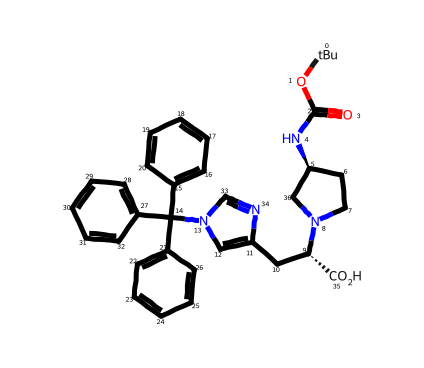 CC(C)(C)OC(=O)N[C@H]1CCN([C@@H](Cc2cn(C(c3ccccc3)(c3ccccc3)c3ccccc3)cn2)C(=O)O)C1